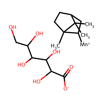 CC1(C)C2CCC1(C)[CH]([Mn+])C2.O=C([O-])C(O)C(O)C(O)C(O)CO